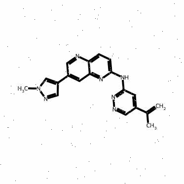 C=C(C)c1cnnc(Nc2ccc3ncc(-c4cnn(C)c4)cc3n2)c1